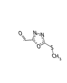 CSc1nnc([C]=O)o1